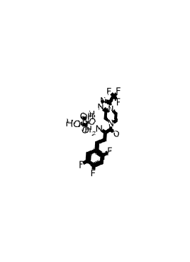 NC(CCc1cc(F)c(F)cc1F)C(=O)N1CCn2c(nnc2C(F)(F)F)C1.O=P(O)(O)O